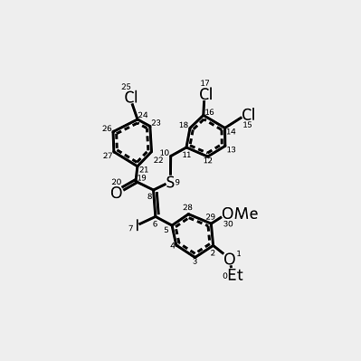 CCOc1ccc(C(I)=C(SCc2ccc(Cl)c(Cl)c2)C(=O)c2ccc(Cl)cc2)cc1OC